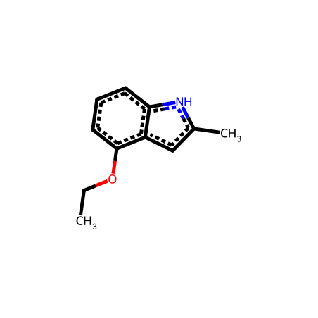 CCOc1cccc2[nH]c(C)cc12